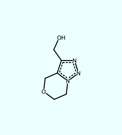 OCc1nnn2c1COCC2